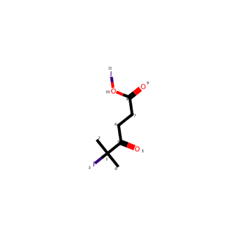 CC(C)(I)C(=O)CCC(=O)OI